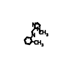 Cc1ccccc1/N=C/c1nccn1C